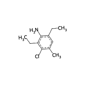 CCc1cc(C)c(Cl)c(CC)c1N